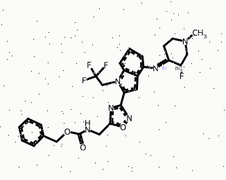 CN1CC/C(=N\c2cccc3c2cc(-c2noc(CNC(=O)OCc4ccccc4)n2)n3CC(F)(F)F)[C@@H](F)C1